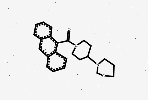 O=C(c1c2ccccc2cc2ccccc12)N1CCC(N2CCCCC2)CC1